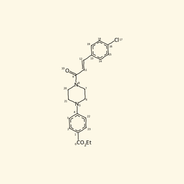 CCOC(=O)c1ccc(N2CCN(C(=O)C=Cc3ccc(Cl)cc3)CC2)cc1